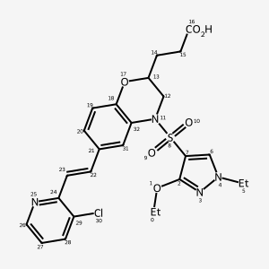 CCOc1nn(CC)cc1S(=O)(=O)N1CC(CCC(=O)O)Oc2ccc(C=Cc3ncccc3Cl)cc21